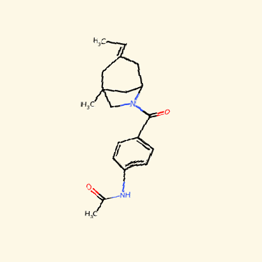 C/C=C1/CC2CC(C)(C1)CN2C(=O)c1ccc(NC(C)=O)cc1